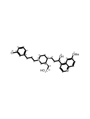 COc1ccc2nccc(C(O)CC[C@@H]3CCN(CCCc4cccc(Cl)c4)C[C@@H]3CC(=O)O)c2c1